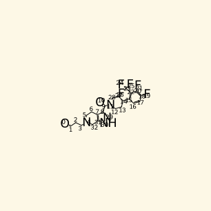 O=CCCN1CCc2c(C(=O)N3CCC(c4ccc(F)c(F)c4C(F)(F)F)CC3)n[nH]c2C1